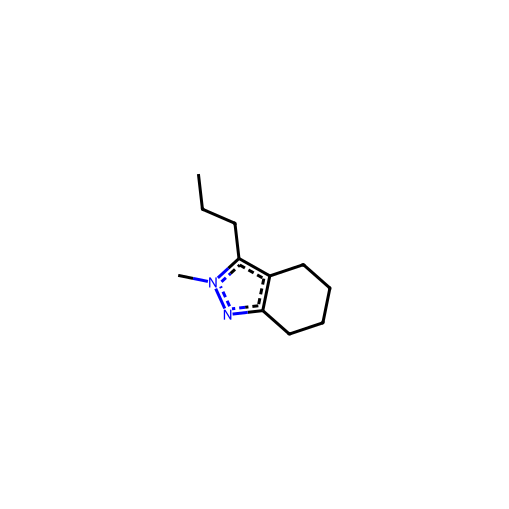 CCCc1c2c(nn1C)CCCC2